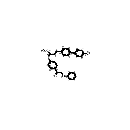 O=C(COc1ccccc1)c1ccc(OC(CCc2ccc(-c3ccc(Cl)cc3)cc2)C(=O)O)cc1